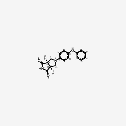 O=C1NC(=O)[C@@H]2CN(c3ccc(Oc4ccccc4)cc3)C[C@H]12